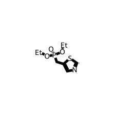 CCOP(=O)(Cc1cn[c]s1)OCC